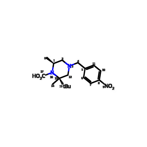 C[C@H]1CN(Cc2ccc([N+](=O)[O-])cc2)C[C@@](C)(C(C)(C)C)N1C(=O)O